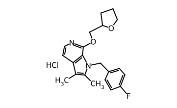 Cc1c(C)n(Cc2ccc(F)cc2)c2c(OCC3CCCO3)nccc12.Cl